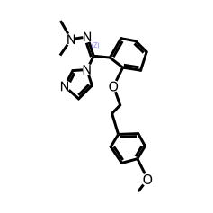 COc1ccc(CCOc2ccccc2/C(=N/N(C)C)n2ccnc2)cc1